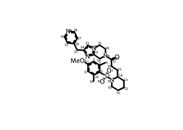 COc1cc(C)c(S(=O)(=O)N2CCCCC2CCC(=O)N2CCn3cc(Cc4ccncc4)nc3C2)c(C)c1